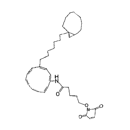 O=C(CCCCON1C(=O)C=CC1=O)NC1=C/C=C(CCCCCCCC23CCCCCCCC2C3)\C=C/C=C\C=C/C=C\1